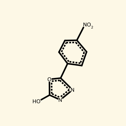 O=[N+]([O-])c1ccc(-c2nnc(O)o2)cc1